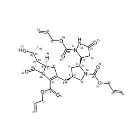 C=CCOC(=O)C1=C(S[C@H]2C[C@@H](C3CC(=O)NN3C(=O)OCC=C)N(C(=O)OCC=C)C2)C[C@@H]2[C@@H]([C@@H](C)O)C(=O)N12